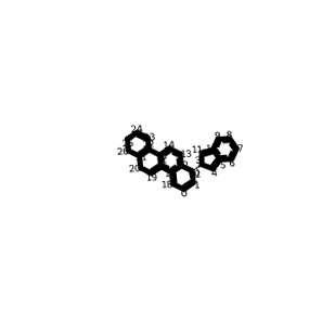 C1=C[C@@H](C2C=c3ccccc3=C2)c2ccc3c(c2=C1)=CCC1=C3C=CCC1